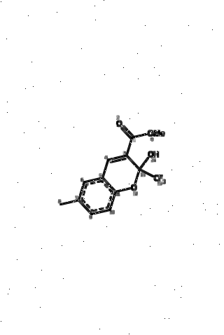 COC(=O)C1=Cc2cc(C)ccc2OC1(O)C(F)(F)F